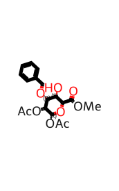 COC(=O)C1O[C@H](OC(C)=O)C(OC(C)=O)[C@H](OCc2ccccc2)[C@@H]1O